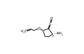 C=CCON1CC[C@@H](N)C1=C=O